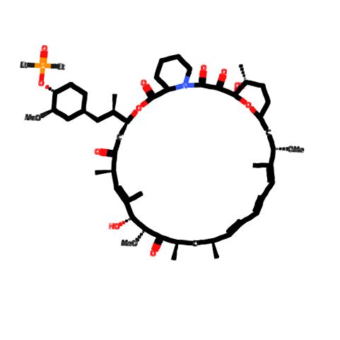 CCP(=O)(CC)O[C@@H]1CC[C@@H](C[C@@H](C)[C@@H]2CC(=O)[C@H](C)/C=C(\C)[C@@H](O)[C@@H](OC)C(=O)[C@H](C)C[C@H](C)/C=C/C=C/C=C(\C)[C@@H](OC)CC3CC[C@@H](C)[C@@](O)(O3)C(=O)C(=O)N3CCCCC3C(=O)O2)C[C@H]1OC